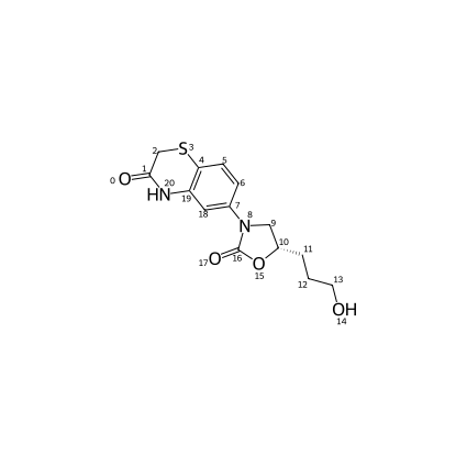 O=C1CSc2ccc(N3C[C@H](CCCO)OC3=O)cc2N1